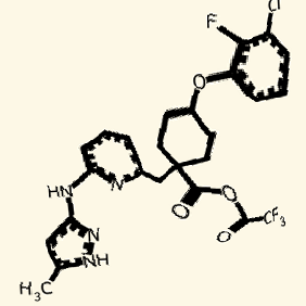 Cc1cc(Nc2cccc(CC3(C(=O)OC(=O)C(F)(F)F)CCC(Oc4cccc(Cl)c4F)CC3)n2)n[nH]1